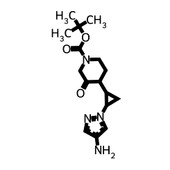 CC(C)(C)OC(=O)N1CCC(C2CC2n2cc(N)cn2)C(=O)C1